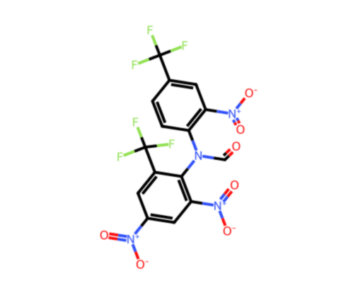 O=CN(c1ccc(C(F)(F)F)cc1[N+](=O)[O-])c1c([N+](=O)[O-])cc([N+](=O)[O-])cc1C(F)(F)F